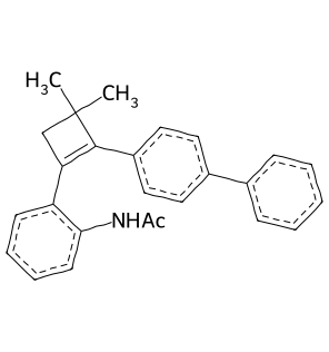 CC(=O)Nc1ccccc1C1=C(c2ccc(-c3ccccc3)cc2)C(C)(C)C1